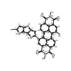 Cc1cc2sc3cc(-c4cc5c6c(ccc7c8c(C)cc9c%10c(ccc(c4c67)c%108)C(=O)N(C)C9=O)C(=O)N(C)C5=O)sc3c2s1